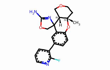 C[C@]12CCOC[C@H]1C1(COC(N)=N1)c1cc(-c3cccnc3F)ccc1O2